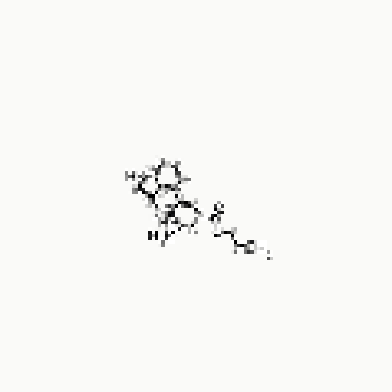 C=CCOC(=O)[C@@H]1C=C2c3cccc4[nH]cc(c34)C[C@H]2N(C)C1